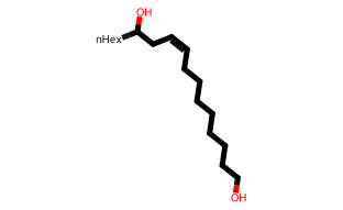 CCCCCCC(O)C/C=C\CCCCCCCCO